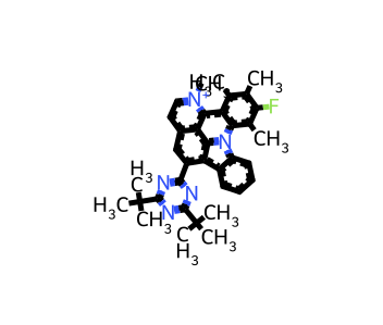 Cc1c(F)c(C)c2c(c1C)c1c3c(cc[n+]1C)cc(-c1nc(C(C)(C)C)nc(C(C)(C)C)n1)c1c4ccccc4n2c13